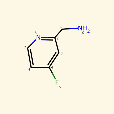 NCc1cc(F)ccn1